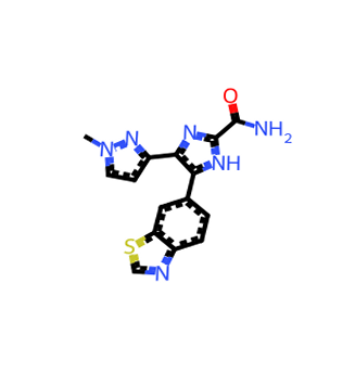 Cn1ccc(-c2nc(C(N)=O)[nH]c2-c2ccc3ncsc3c2)n1